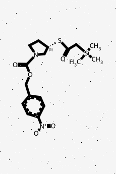 C[Si](C)(C)CC(=O)S[C@H]1CCN(C(=O)OCc2ccc([N+](=O)[O-])cc2)C1